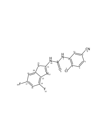 N#Cc1ccc(Cl)c(NC(=O)Nc2nc3c(F)cc(F)cc3s2)c1